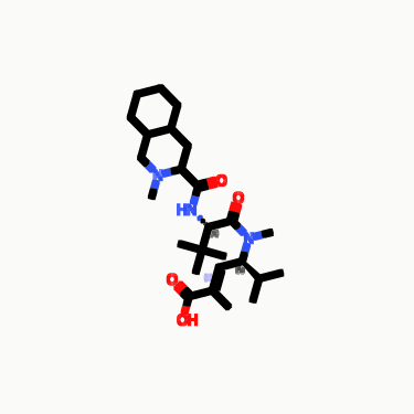 C/C(=C\[C@H](C(C)C)N(C)C(=O)[C@@H](NC(=O)C1CC2CCCCC2CN1C)C(C)(C)C)C(=O)O